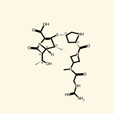 C[C@@H](O)[C@H]1C(=O)N2C(C(=O)O)=C(S[C@@H]3CN[C@H](C(=O)N4CC(N(C)C(=O)CNC(=N)N)C4)C3)[C@H](C)[C@H]12